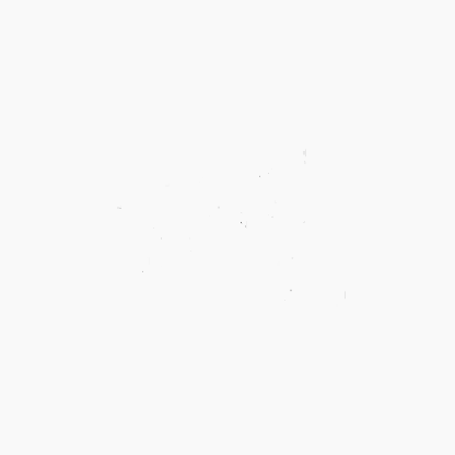 CC[C@]1(O)C[C@@H](C(=O)O)N(C(=O)OC(C)(C)C)C1